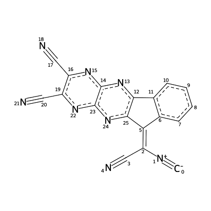 [C-]#[N+]/C(C#N)=C1\c2ccccc2-c2nc3nc(C#N)c(C#N)nc3nc21